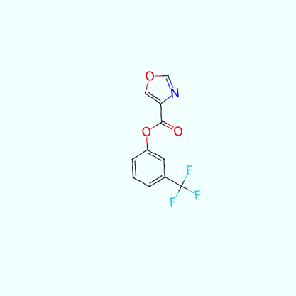 O=C(Oc1cccc(C(F)(F)F)c1)c1cocn1